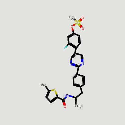 CC(C)(C)c1ccc(C(=O)NC(Cc2ccc(-c3ncc(-c4ccc(OS(=O)(=O)C(F)(F)F)cc4F)cn3)cc2)C(=O)O)s1